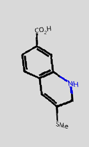 CSC1=Cc2ccc(C(=O)O)cc2NC1